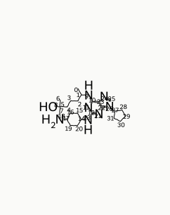 CC(CCCC(C)(C)O)Nc1nc(NC2CCC(N)CC2)nc2c1ncn2C1CCCC1